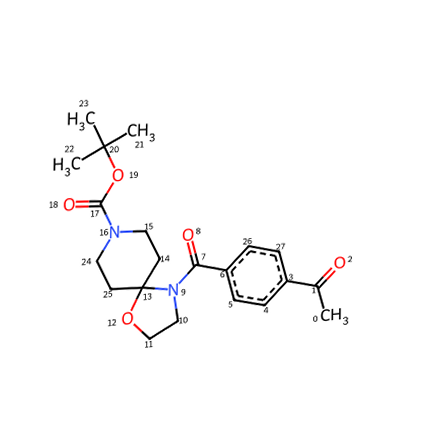 CC(=O)c1ccc(C(=O)N2CCOC23CCN(C(=O)OC(C)(C)C)CC3)cc1